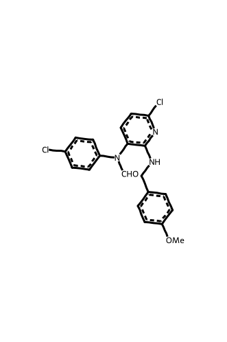 COc1ccc(CNc2nc(Cl)ccc2N(C=O)c2ccc(Cl)cc2)cc1